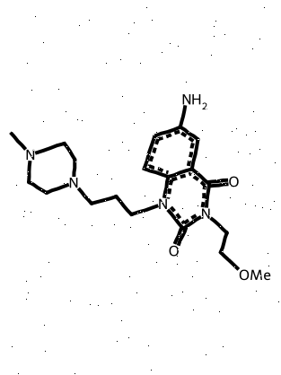 COCCn1c(=O)c2cc(N)ccc2n(CCCN2CCN(C)CC2)c1=O